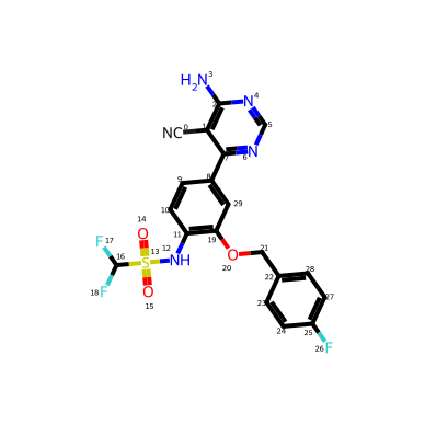 N#Cc1c(N)ncnc1-c1ccc(NS(=O)(=O)C(F)F)c(OCc2ccc(F)cc2)c1